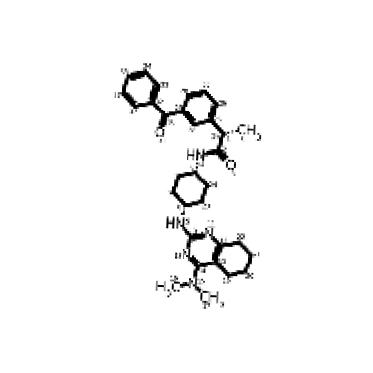 C[C@H](C(=O)N[C@H]1CC[C@@H](Nc2nc3c(c(N(C)C)n2)CCCC3)CC1)c1cccc(C(=O)c2ccccc2)c1